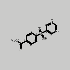 COC(=O)c1ccc(S(=N)(=O)c2cncnc2)cc1